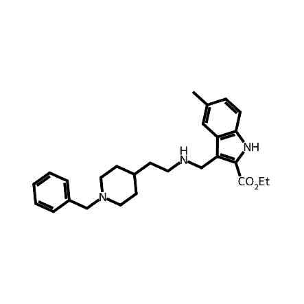 CCOC(=O)c1[nH]c2ccc(C)cc2c1CNCCC1CCN(Cc2ccccc2)CC1